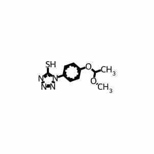 COC(C)Oc1ccc(-n2nnnc2S)cc1